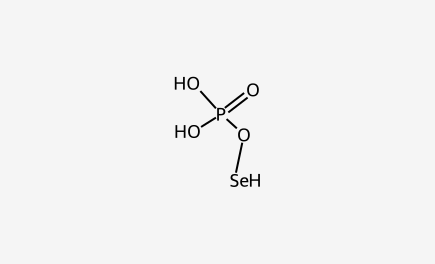 O=P(O)(O)O[SeH]